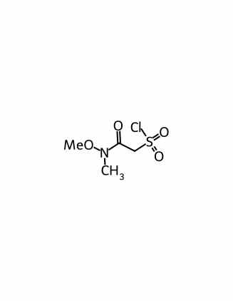 CON(C)C(=O)CS(=O)(=O)Cl